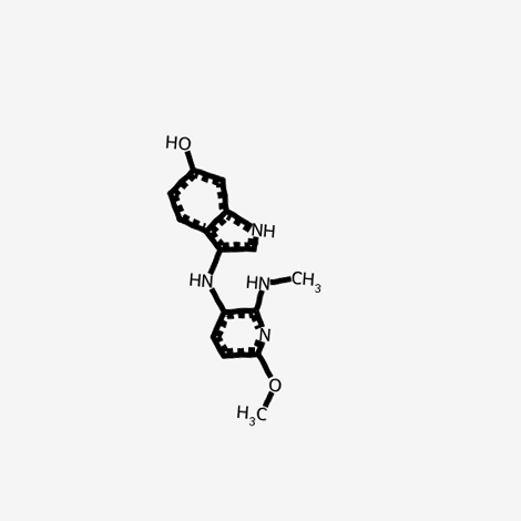 CNc1nc(OC)ccc1Nc1c[nH]c2cc(O)ccc12